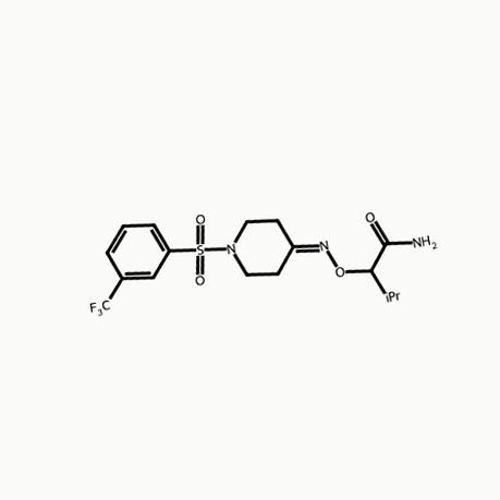 CC(C)C(ON=C1CCN(S(=O)(=O)c2cccc(C(F)(F)F)c2)CC1)C(N)=O